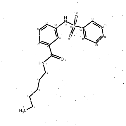 CCCCCCNC(=O)c1cccc(NS(=O)(=O)c2cccnc2)c1